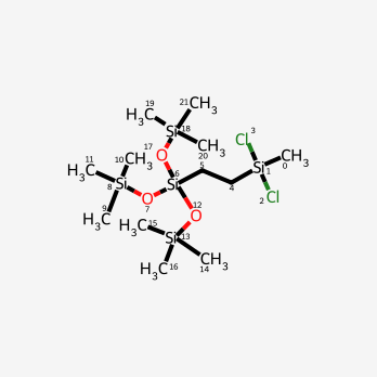 C[Si](Cl)(Cl)CC[Si](O[Si](C)(C)C)(O[Si](C)(C)C)O[Si](C)(C)C